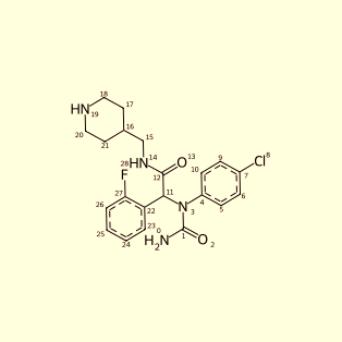 NC(=O)N(c1ccc(Cl)cc1)C(C(=O)NCC1CCNCC1)c1ccccc1F